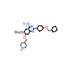 COc1cc2c(N)nc(-c3ccc(OCc4ccccc4)cc3)nc2cc1OCC1CCN(C)CC1